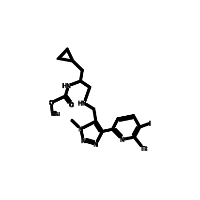 CCc1nc(-c2nnn(C)c2CNCC(CC2CC2)NC(=O)OC(C)(C)C)ccc1I